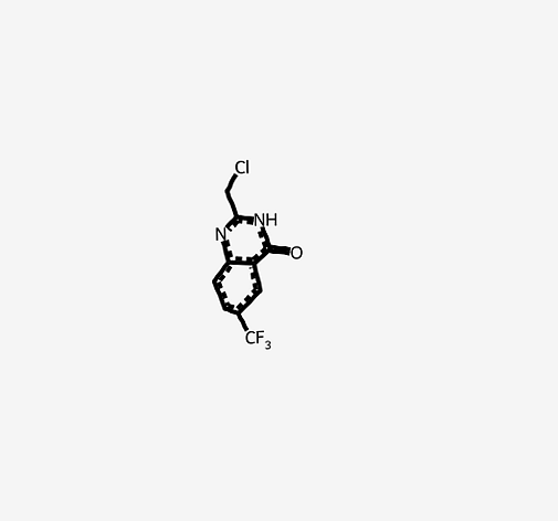 O=c1[nH]c(CCl)nc2ccc(C(F)(F)F)cc12